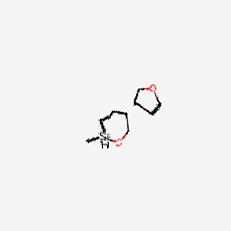 C1CCOC1.C[SiH]1CCCCO1